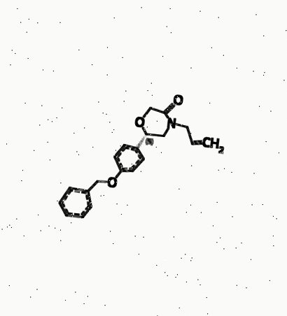 C=CCN1C[C@H](c2ccc(OCc3ccccc3)cc2)OCC1=O